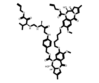 C=CCOC(=O)C(=O)[C@@H](NCN[C@@H](C)C(=O)CNc1ccc(COC(=O)N2c3cc(OCCCCCOc4cc5c(cc4OC)C(=O)N4C=C(C)C[C@H]4[C@H](O)N5C(=O)OCC=C)c(OC)cc3C(=O)N3C=C(C)C[C@H]3[C@@H]2O)cc1)C(C)C